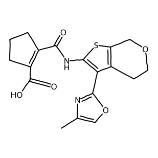 Cc1coc(-c2c(NC(=O)C3=C(C(=O)O)CCC3)sc3c2CCOC3)n1